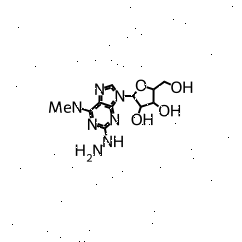 CNc1nc(NN)nc2c1ncn2C1OC(CO)C(O)C1O